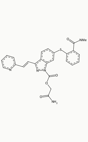 CNC(=O)c1ccccc1Sc1ccc2c(/C=C/c3ccccn3)nn(C(=O)OCC(N)=O)c2c1